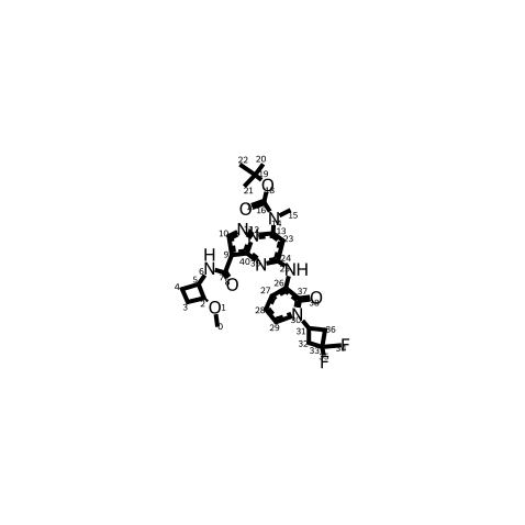 CO[C@@H]1CCC1NC(=O)c1cnn2c(N(C)C(=O)OC(C)(C)C)cc(Nc3cccn(C4CC(F)(F)C4)c3=O)nc12